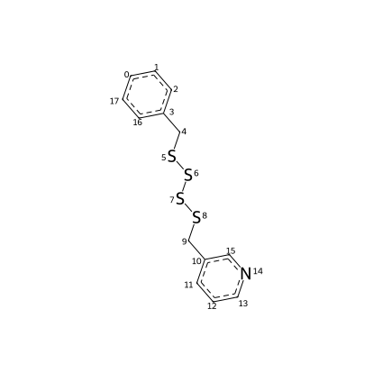 c1ccc(CSSSSCc2cccnc2)cc1